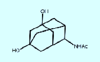 CC(=O)NC1C2CC3(O)CC1CC(O)(C2)C3